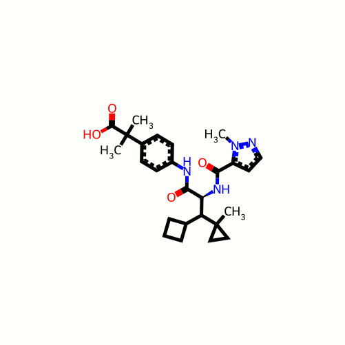 Cn1nccc1C(=O)N[C@H](C(=O)Nc1ccc(C(C)(C)C(=O)O)cc1)C(C1CCC1)C1(C)CC1